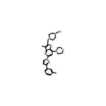 Cc1cccc(-c2ccn(-c3cc(N4CCOCC4)c4sc(CN5CCN(C(C)C)CC5)c(C)c4n3)n2)c1